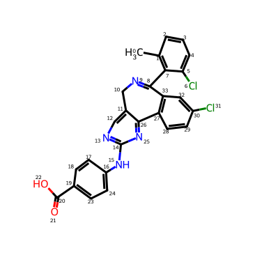 Cc1cccc(Cl)c1C1=NCc2cnc(Nc3ccc(C(=O)O)cc3)nc2-c2ccc(Cl)cc21